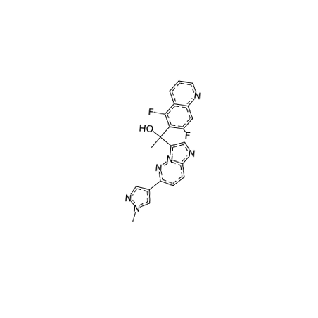 Cn1cc(-c2ccc3ncc(C(C)(O)c4c(F)cc5ncccc5c4F)n3n2)cn1